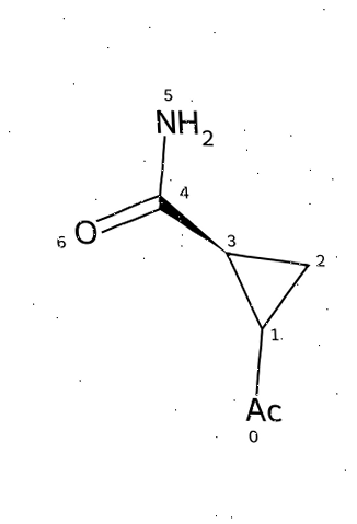 CC(=O)C1C[C@@H]1C(N)=O